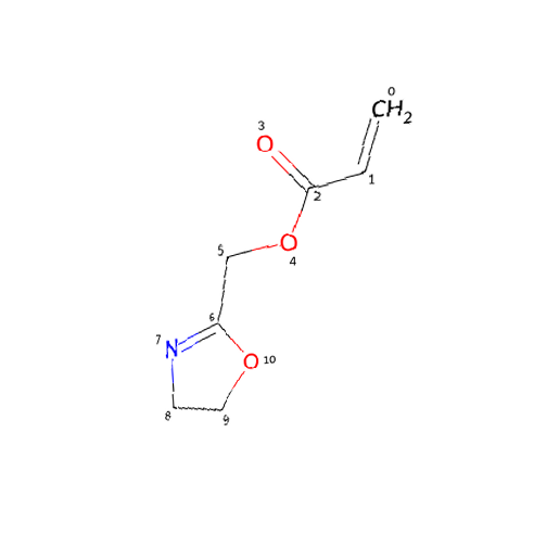 C=CC(=O)OCC1=NCCO1